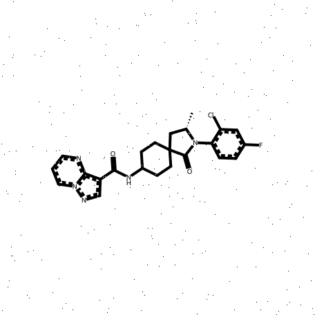 C[C@H]1CC2(CCC(NC(=O)c3cnn4cccnc34)CC2)C(=O)N1c1ccc(F)cc1Cl